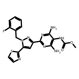 COC(=O)Nc1c(N)nc(-c2cc(-c3nccs3)n(Cc3ccccc3F)n2)nc1N